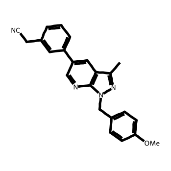 COc1ccc(Cn2nc(C)c3cc(-c4cccc(CC#N)c4)cnc32)cc1